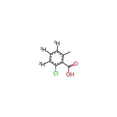 [2H]c1c([2H])c(C)c(C(=O)O)c(Cl)c1[2H]